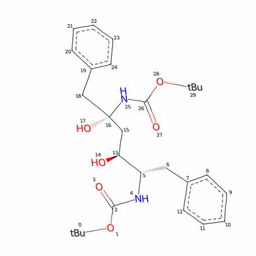 CC(C)(C)OC(=O)N[C@@H](Cc1ccccc1)[C@@H](O)C[C@@](O)(Cc1ccccc1)NC(=O)OC(C)(C)C